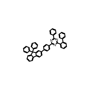 c1ccc(-c2nc(-c3ccc(-c4ccc5c(c4)C(c4ccccc4)(c4ccccc4)c4ccccc4-5)cc3)nc(-c3ccccc3-c3ccccc3)n2)cc1